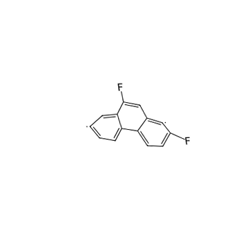 Fc1[c]c2cc(F)c3c[c]ccc3c2cc1